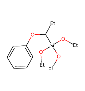 CCO[Si](OCC)(OCC)C(CC)Oc1ccccc1